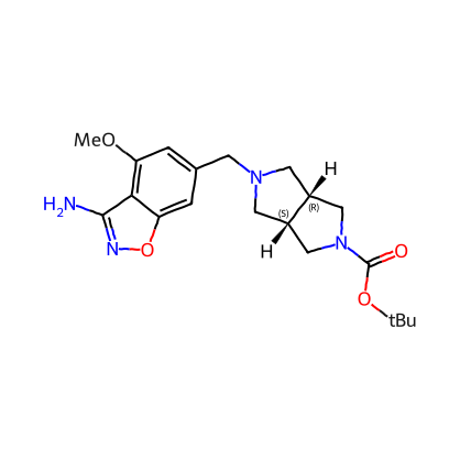 COc1cc(CN2C[C@@H]3CN(C(=O)OC(C)(C)C)C[C@@H]3C2)cc2onc(N)c12